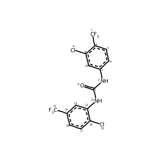 O=C(Nc1ccc(C(F)(F)F)c(Cl)c1)Nc1cc(C(F)(F)F)ccc1Cl